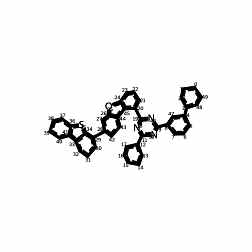 c1ccc(-c2cccc(-c3nc(-c4ccccc4)nc(-c4cccc5oc6cc(-c7cccc8c7sc7ccccc78)ccc6c45)n3)c2)cc1